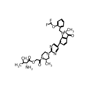 CC(C)[C@@H](N)C(=O)OCC(=O)N1CCN(c2ncc(-c3ccc4c(=O)n(C)n(Cc5ccccc5OC(F)F)c4c3)cn2)C[C@H]1C